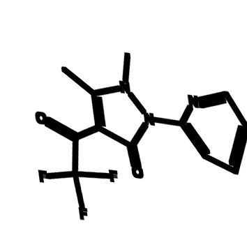 Cc1c(C(=O)C(F)(F)F)c(=O)n(-c2ccccn2)n1C